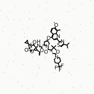 C=CC1CC1(NC(=O)[C@@H]1C[C@@H](Oc2cc(-c3nc(C(C)C)cs3)nc3c(C)c(OC)ccc23)CN1C(=O)[C@@H](CC(=O)N1CCC(C(F)(F)F)CC1)C(C)(C)C)C(=O)N(C1CC1)[SH](=O)=O